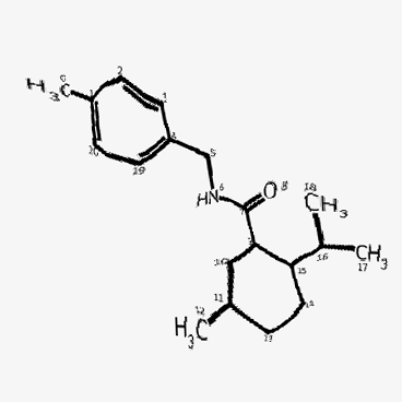 Cc1ccc(CNC(=O)C2CC(C)CCC2C(C)C)cc1